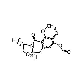 COc1c2n(cc(OC=O)c1=O)C[C@H]1OC[C@H](C)N1C2=O